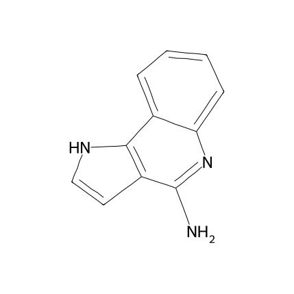 Nc1nc2ccccc2c2[nH]ccc12